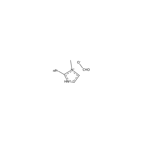 CCCc1[nH]cc[n+]1C.O=C[O-]